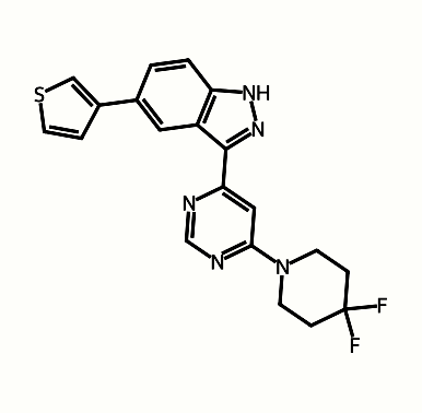 FC1(F)CCN(c2cc(-c3n[nH]c4ccc(-c5ccsc5)cc34)ncn2)CC1